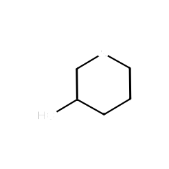 OC1[C]SCCC1